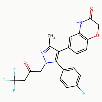 Cc1nn(CC(=O)CC(F)(F)F)c(-c2ccc(F)cc2)c1-c1ccc2c(c1)NC(=O)CO2